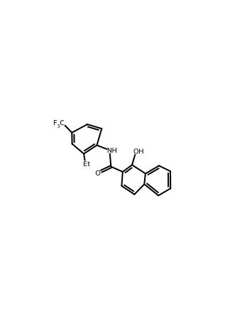 CCc1cc(C(F)(F)F)ccc1NC(=O)c1ccc2ccccc2c1O